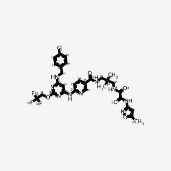 Cc1cc(NC(=O)C(=O)NCC(C)(C)CNC(=O)c2ccc(Nc3cc(NCc4ccc(Cl)cc4)nc(OCC(F)(F)F)n3)nc2)no1